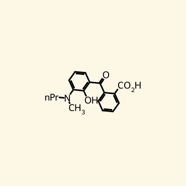 CCCN(C)c1cccc(C(=O)c2ccccc2C(=O)O)c1O